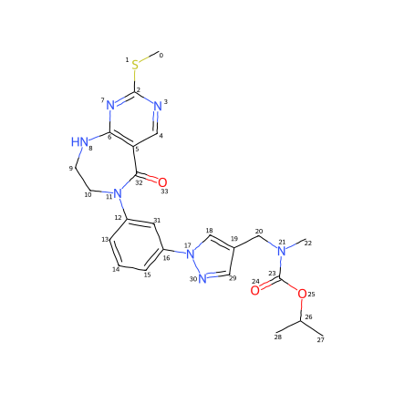 CSc1ncc2c(n1)NCCN(c1cccc(-n3cc(CN(C)C(=O)OC(C)C)cn3)c1)C2=O